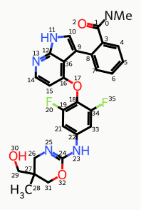 CNC(=O)c1ccccc1-c1c[nH]c2nccc(Oc3c(F)cc(NC4=NCC(C)(CO)CO4)cc3F)c12